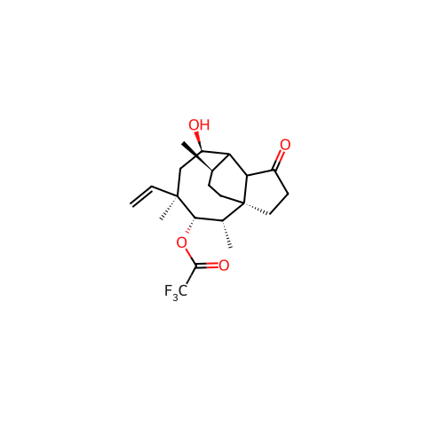 C=C[C@@]1(C)C[C@@H](O)C2C3C(=O)CC[C@@]3(CC[C@H]2C)[C@H](C)[C@@H]1OC(=O)C(F)(F)F